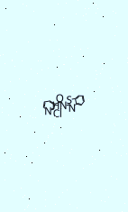 O=C(Nc1nc2ccccc2s1)c1cccnc1Cl